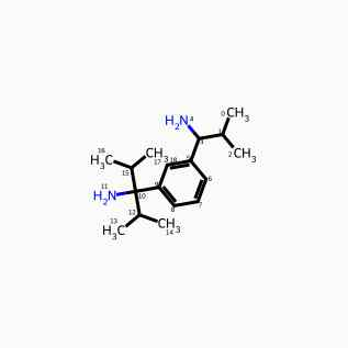 CC(C)C(N)c1cccc(C(N)(C(C)C)C(C)C)c1